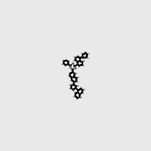 c1ccc(-c2nc(-c3ccc4cc(-c5cccc(-c6cccc7ccccc67)c5)ccc4c3)nc(-c3cccc4c(-c5ccccc5)cccc34)n2)cc1